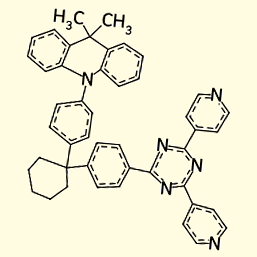 CC1(C)c2ccccc2N(c2ccc(C3(c4ccc(-c5nc(-c6ccncc6)nc(-c6ccncc6)n5)cc4)CCCCC3)cc2)c2ccccc21